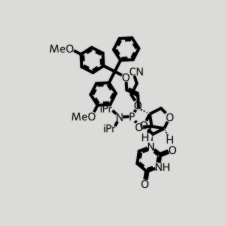 COc1ccc(C(OC=CC[C@@]23CO[C@@H]([C@H](n4ccc(=O)[nH]c4=O)O2)[C@@H]3OP(OCCC#N)N(C(C)C)C(C)C)(c2ccccc2)c2ccc(OC)cc2)cc1